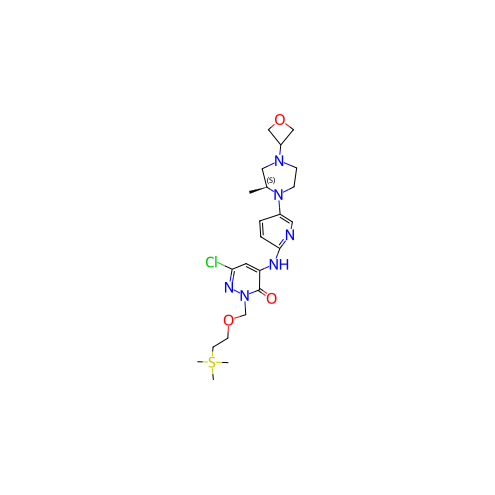 C[C@H]1CN(C2COC2)CCN1c1ccc(Nc2cc(Cl)nn(COCCS(C)(C)C)c2=O)nc1